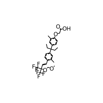 CCC(CC)(c1ccc(/C=C/C(OCOC)(C(F)(F)F)C(F)(F)F)c(C)c1)c1ccc(OCC(=O)O)c(C)c1